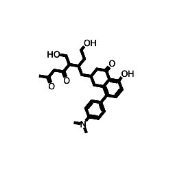 CC(=O)CC(=O)C(CO)C(CCO)CC1CC(=O)c2c(O)ccc(-c3ccc(N(C)C)cc3)c2C1